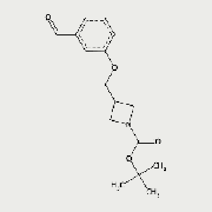 CC(C)(C)OC(=O)N1CC(COc2cccc(C=O)c2)C1